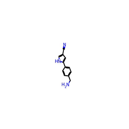 N#Cc1c[nH]c(-c2ccc(CN)cc2)c1